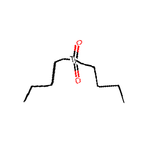 CCC[CH2][Ti](=[O])(=[O])[CH2]CCC